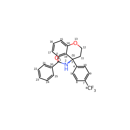 O=C(N[C@]1(c2ccc(C(F)(F)F)cc2)CCOc2ccccc21)c1ccccc1